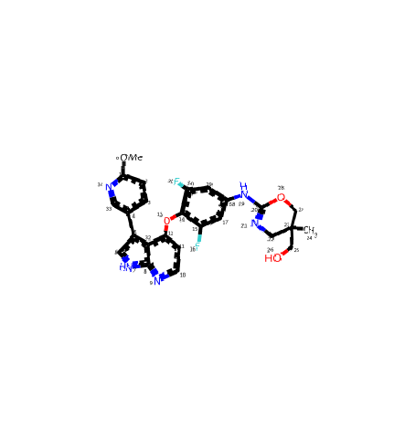 COc1ccc(-c2c[nH]c3nccc(Oc4c(F)cc(NC5=NCC(C)(CO)CO5)cc4F)c23)cn1